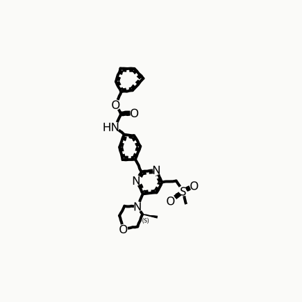 C[C@H]1COCCN1c1cc(CS(C)(=O)=O)nc(-c2ccc(NC(=O)Oc3ccccc3)cc2)n1